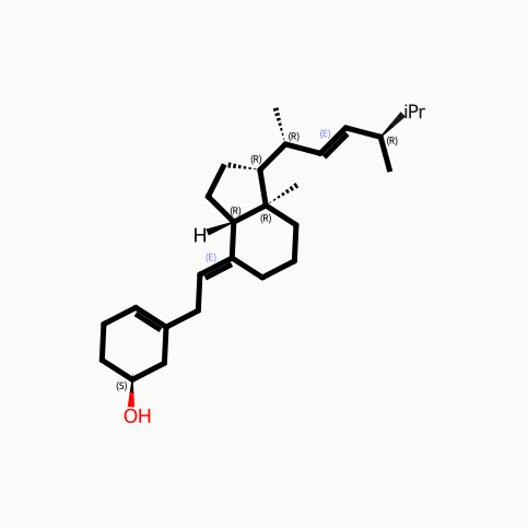 CC(C)[C@@H](C)/C=C/[C@@H](C)[C@H]1CC[C@H]2/C(=C/CC3=CCC[C@H](O)C3)CCC[C@]12C